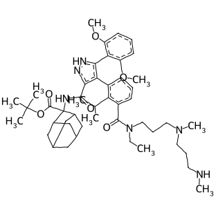 CCN(CCCN(C)CCCNC)C(=O)c1cccc(-c2c(C(=O)NC3(C(=O)OC(C)(C)C)C4CC5CC(C4)CC3C5)n[nH]c2-c2c(OC)cccc2OC)c1C(C)C